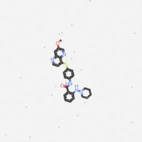 COc1cnc2c(Sc3ccc(NC(=O)c4ccccc4NN4CCCCC4)cc3)ccnc2c1